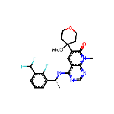 COC1(c2cc3c(N[C@H](C)c4cccc(C(F)F)c4F)ncnc3n(C)c2=O)CCOCC1